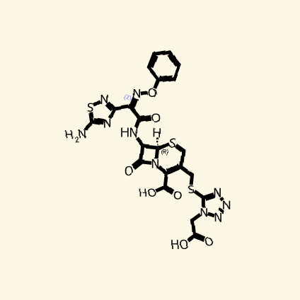 Nc1nc(/C(=N/Oc2ccccc2)C(=O)NC2C(=O)N3C(C(=O)O)=C(CSc4nnnn4CC(=O)O)CS[C@H]23)ns1